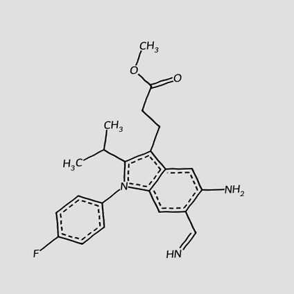 COC(=O)CCc1c(C(C)C)n(-c2ccc(F)cc2)c2cc(C=N)c(N)cc12